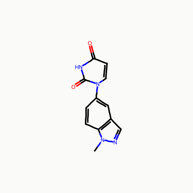 Cn1ncc2cc(-n3ccc(=O)[nH]c3=O)ccc21